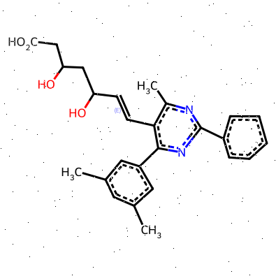 Cc1cc(C)cc(-c2nc(-c3ccccc3)nc(C)c2/C=C/C(O)CC(O)CC(=O)O)c1